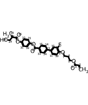 C=CC(=O)OCCCOc1ccc(-c2ccc(C(=O)Oc3ccc(OC(=O)C(=C)CO)cc3)cc2)cc1F